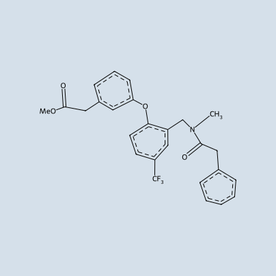 COC(=O)Cc1cccc(Oc2ccc(C(F)(F)F)cc2CN(C)C(=O)Cc2ccccc2)c1